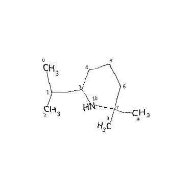 CC(C)C1CCCC(C)(C)N1